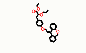 CCCOC(Cc1ccc(OCC=C2c3ccccc3COc3ccccc32)cc1)C(=O)OCC